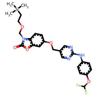 C[Si](C)(C)CCOCn1c(=O)oc2cc(OCc3cnc(Nc4ccc(OC(F)F)cc4)nc3)ccc21